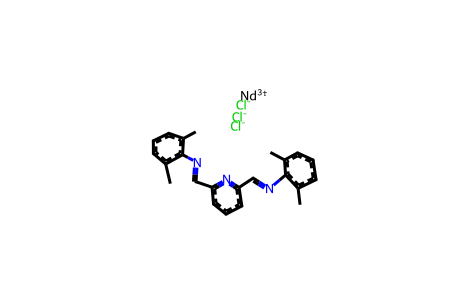 Cc1cccc(C)c1N=Cc1cccc(C=Nc2c(C)cccc2C)n1.[Cl-].[Cl-].[Cl-].[Nd+3]